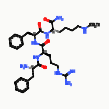 CCOC(=O)NCCCC[C@H](NC(=O)[C@H](Cc1ccccc1)NC(=O)[C@@H](CCCNC(=N)N)NC(=O)[C@@H](N)Cc1ccccc1)C(N)=O